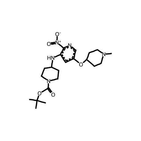 CN1CCC(Oc2cnc([N+](=O)[O-])c(NC3CCN(C(=O)OC(C)(C)C)CC3)c2)CC1